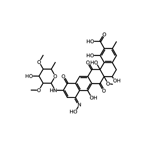 COC1C(C)OC(NC2=CC(=NO)c3c(cc4c(c3O)C(=O)C3(OC)C(O)Cc5cc(C)c(C(=O)O)c(O)c5C3(O)C4=O)C2=O)C(OC)C1O